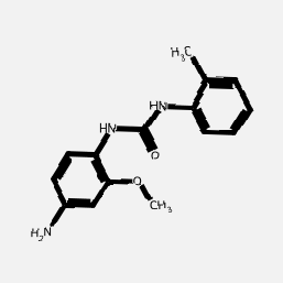 COc1cc(N)ccc1NC(=O)Nc1ccccc1C